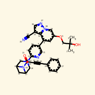 CC(C)(O)COc1cc(-c2ccc(N3CC4CC(C3)N4C(=O)C#Cc3ccccc3)nc2)c2c(C#N)cnn2c1